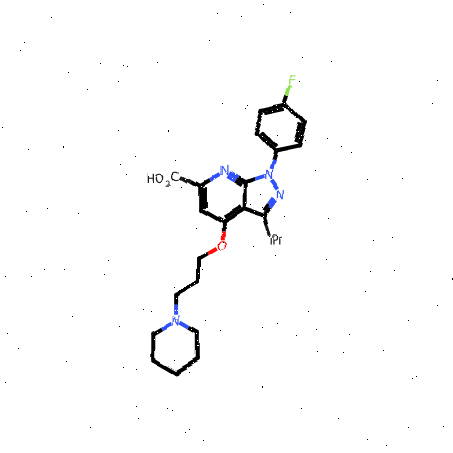 CC(C)c1nn(-c2ccc(F)cc2)c2nc(C(=O)O)cc(OCCCN3CCCCC3)c12